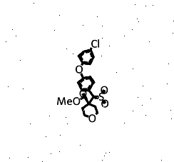 COC(=O)C1(C(c2ccc(Oc3ccc(Cl)cc3)cc2)=S(=O)=O)CCOCC1